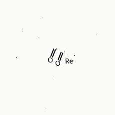 [C]=O.[C]=O.[Re]